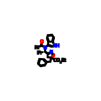 CCOC(=O)C1(Cc2ccccc2)CC([C@H](C(C)C)N(C(=O)CC)c2c[nH]c3ccccc23)=NO1